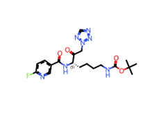 CC(C)(C)OC(=O)NCCCC[C@H](NC(=O)c1ccc(F)nc1)C(=O)Cn1ncnn1